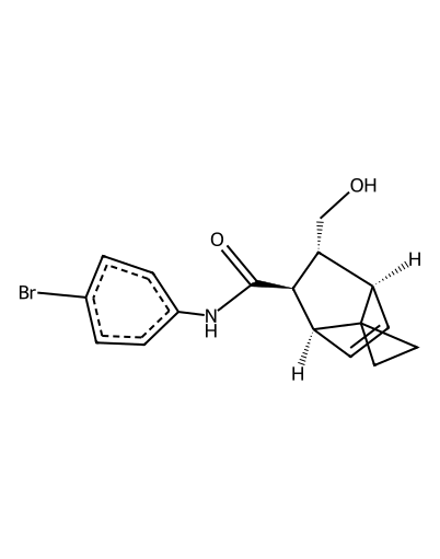 O=C(Nc1ccc(Br)cc1)[C@H]1[C@H](CO)[C@H]2C=C[C@@H]1C21CC1